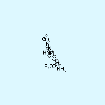 CC(COC(=O)C1CCC1)N1CCc2c(nc(C(=O)Nc3cccc(-c4cccc5c4CCC5Oc4cc(OCC(F)(F)F)c(CN)c(F)c4Cl)c3Cl)n2C)C1